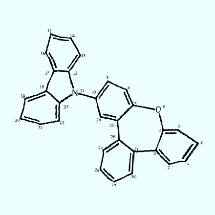 c1ccc2c(c1)Oc1ccc(-n3c4ccccc4c4ccccc43)cc1-c1ccccc1-2